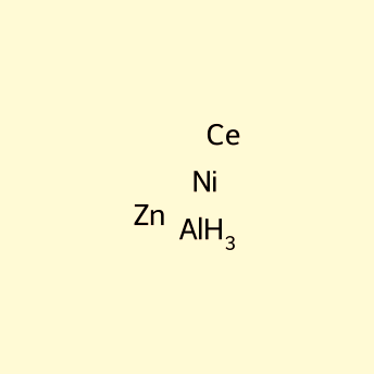 [AlH3].[Ce].[Ni].[Zn]